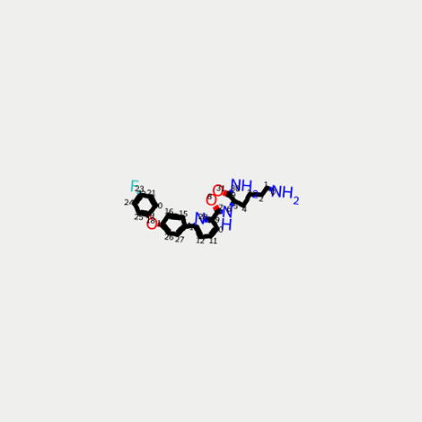 NCCCCC(NC(=O)c1cccc(-c2ccc(Oc3ccc(F)cc3)cc2)n1)C(N)=O